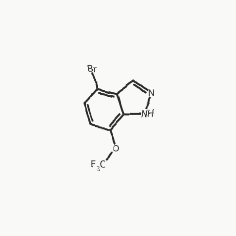 FC(F)(F)Oc1ccc(Br)c2cn[nH]c12